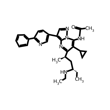 CCN[C@@H](CC)C[C@@H](C)c1nc2c(-c3ccc(-c4ccccc4)nc3)cnn2c(NC(C)=O)c1C1CC1